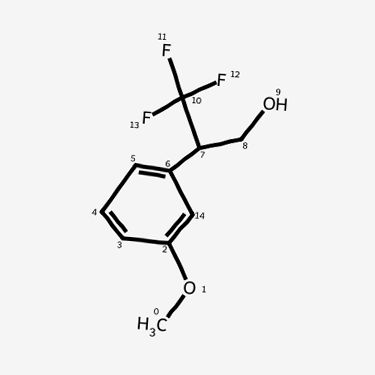 COc1cccc(C(CO)C(F)(F)F)c1